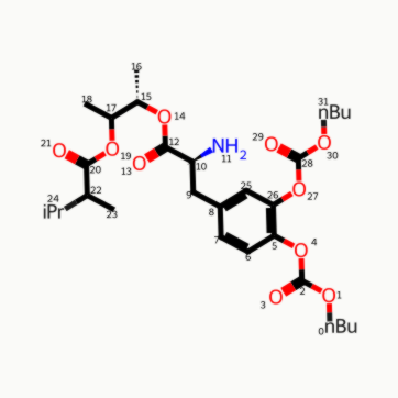 CCCCOC(=O)Oc1ccc(C[C@H](N)C(=O)O[C@@H](C)C(C)OC(=O)C(C)C(C)C)cc1OC(=O)OCCCC